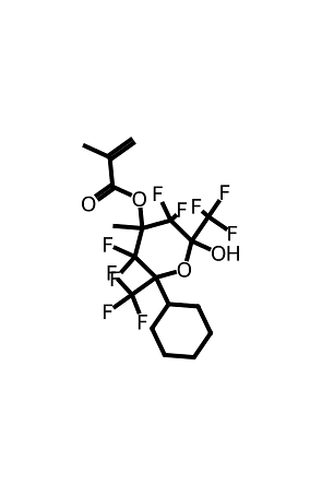 C=C(C)C(=O)OC1(C)C(F)(F)C(O)(C(F)(F)F)OC(C2CCCCC2)(C(F)(F)F)C1(F)F